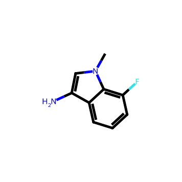 Cn1cc(N)c2cccc(F)c21